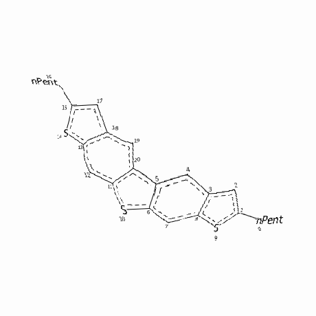 CCCCCc1cc2cc3c(cc2s1)sc1cc2sc(CCCCC)cc2cc13